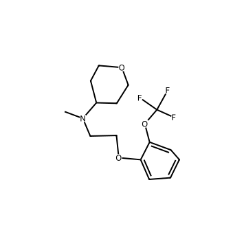 CN(CCOc1ccccc1OC(F)(F)F)C1CCOCC1